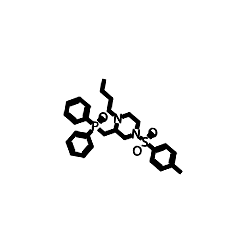 CCCCN1CCN(S(=O)(=O)c2ccc(C)cc2)CC1CP(=O)(c1ccccc1)c1ccccc1